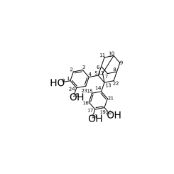 Oc1ccc(C2C3CC4CC(C3)CC2(c2ccc(O)c(O)c2)C4)cc1O